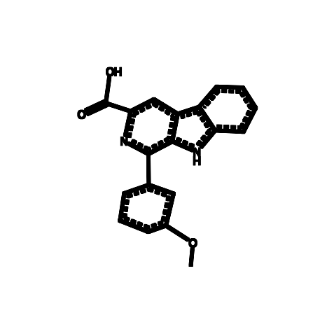 COc1cccc(-c2nc(C(=O)O)cc3c2[nH]c2ccccc23)c1